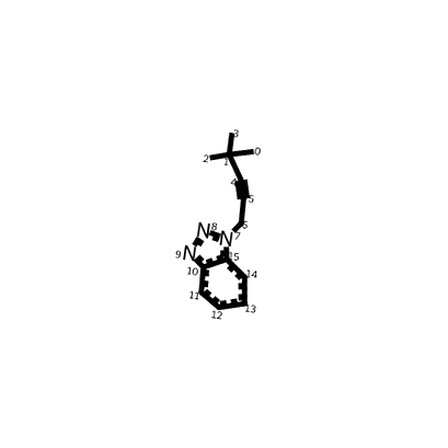 CC(C)(C)C#CCn1nnc2ccccc21